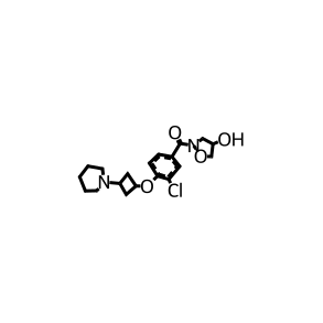 O=C(c1ccc(OC2CC(N3CCCCC3)C2)c(Cl)c1)N1CC(O)CO1